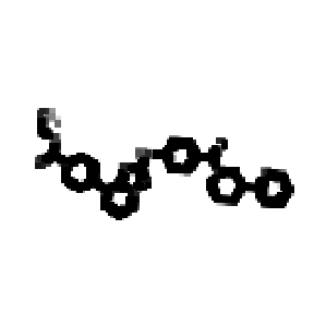 CCOC(=O)N1CC=C(c2cccn3nc(Nc4ccc(C(=O)N5CCCC(c6ccccn6)C5)cc4)nc23)CC1